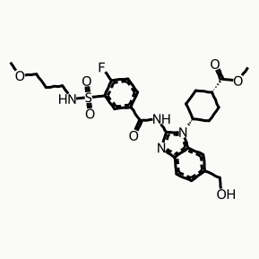 COCCCNS(=O)(=O)c1cc(C(=O)Nc2nc3ccc(CO)cc3n2[C@H]2CC[C@@H](C(=O)OC)CC2)ccc1F